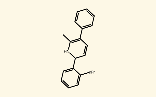 CCCc1ccccc1C1C=CC(c2ccccc2)=C(C)N1